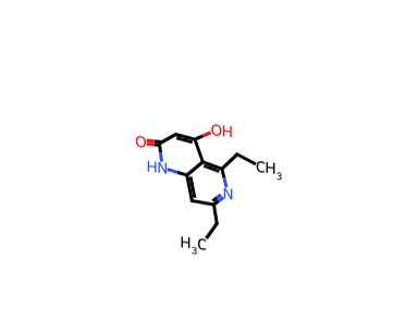 CCc1cc2[nH]c(=O)cc(O)c2c(CC)n1